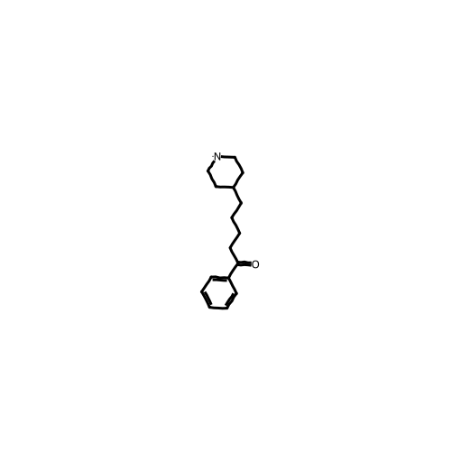 O=C(CCCCC1CC[N]CC1)c1ccccc1